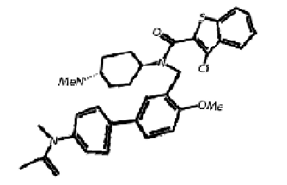 C=C(C)N(C)c1ccc(-c2ccc(OC)c(CN(C(=O)c3sc4ccccc4c3Cl)[C@H]3CC[C@H](NC)CC3)c2)cc1